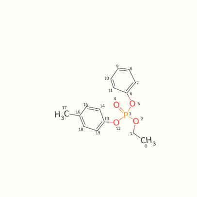 CCOP(=O)(Oc1ccccc1)Oc1ccc(C)cc1